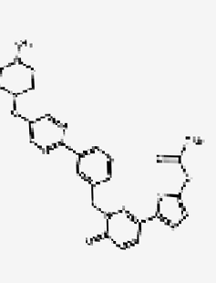 COC(=O)Oc1ccc(-c2ccc(=O)n(Cc3cccc(-c4ncc(OC5CCN(C)CC5)cn4)c3)n2)s1